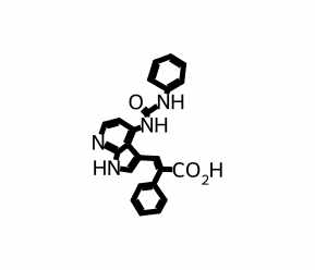 O=C(Nc1ccccc1)Nc1ccnc2[nH]cc(C=C(C(=O)O)c3ccccc3)c12